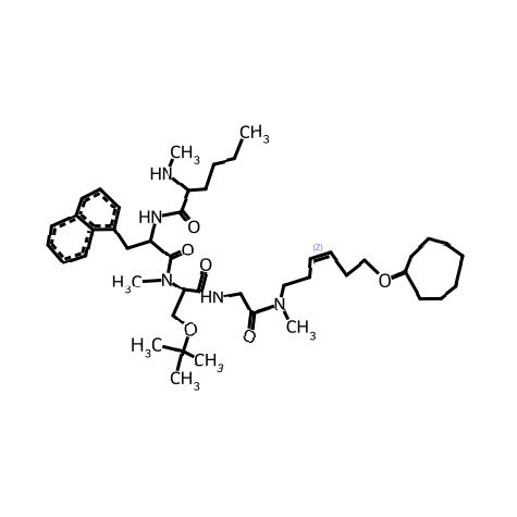 CCCCC(NC)C(=O)NC(Cc1cccc2ccccc12)C(=O)N(C)C(COC(C)(C)C)C(=O)NCC(=O)N(C)CC/C=C\CCOC1CCCCCCC1